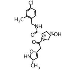 Cc1cc(Cl)ccc1CNC(=O)[C@@H]1C[C@@H](O)CN1C(=O)CC1=CC(C)NO1